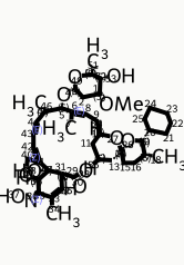 CO[C@H]1C[C@H](O[C@@H]2/C(C)=C/C[C@@H]3C[C@@H](C[C@]4(CC[C@H](C)[C@@H](C5CCCCC5)O4)O3)OC(=O)[C@@H]3C=C(C)/C(=N/O)[C@H]4OC/C(=C/C=C/[C@@H]2C)[C@]43O)O[C@@H](C)[C@@H]1O